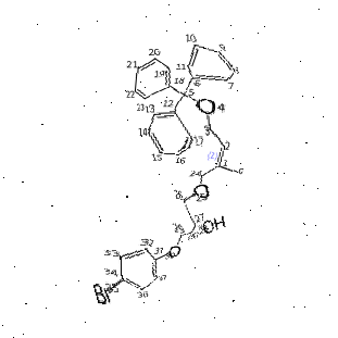 C/C(=C/COC(c1ccccc1)(c1ccccc1)c1ccccc1)COC[C@H](O)COc1ccc(Br)cc1